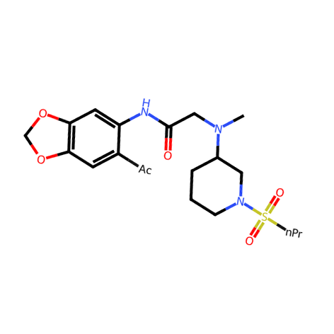 CCCS(=O)(=O)N1CCCC(N(C)CC(=O)Nc2cc3c(cc2C(C)=O)OCO3)C1